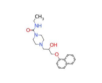 CCNC(=O)N1CCN(CC(O)COc2cccc3ccccc23)CC1